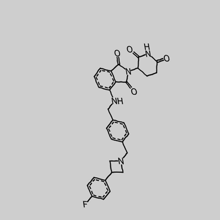 O=C1CCC(N2C(=O)c3cccc(NCc4ccc(CN5CC(c6ccc(F)cc6)C5)cc4)c3C2=O)C(=O)N1